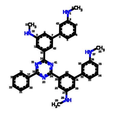 CNc1cccc(-c2cc(NC)cc(-c3nc(-c4ccccc4)nc(-c4cc(NC)cc(-c5cccc(NC)c5)c4)n3)c2)c1